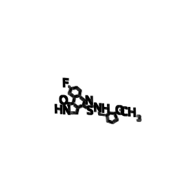 COc1cccc(CNc2nc3c4ccc(F)cc4c4c(=O)[nH]ccc4c3s2)c1